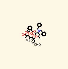 CO[C@](C)(C[C@@H](C)C=O)[C@H](O[C@@H]1OC(C)CC(N(Cc2ccccc2)Cc2ccccc2)C1OC(=O)c1ccccc1)[C@@H](C)C1=C(C)C(=O)OC(C)(C)O1